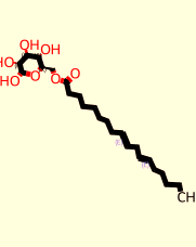 CCCCC/C=C/C/C=C/CCCCCCCC(=O)OC[C@H]1OC(O)[C@H](O)[C@@H](O)[C@@H]1O